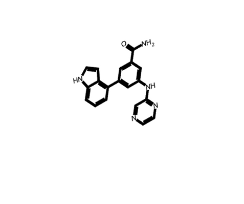 NC(=O)c1cc(Nc2cnccn2)cc(-c2cccc3[nH]ccc23)c1